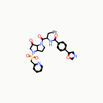 CC(C)CC(NC(=O)c1ccc(-c2cnco2)cc1)C(=O)N1CCC2C1C(=O)CN2S(=O)(=O)Cc1ccccn1